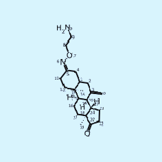 C=C1CC2CC(=NOCCN)CC[C@]2(C)[C@@H]2CC[C@]3(C)C(=O)CC[C@H]3[C@H]12